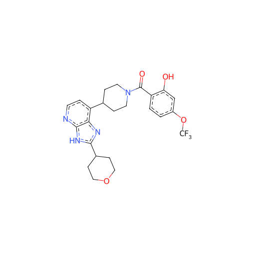 O=C(c1ccc(OC(F)(F)F)cc1O)N1CCC(c2ccnc3[nH]c(C4CCOCC4)nc23)CC1